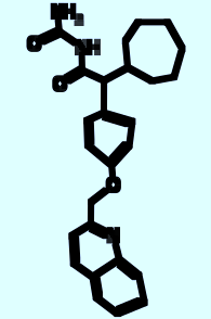 NC(=O)NC(=O)C(c1ccc(OCc2ccc3ccccc3n2)cc1)C1CCCCCC1